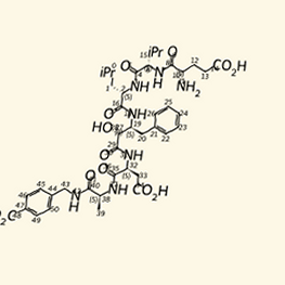 CC(C)C[C@H](NC(=O)[C@@H](NC(=O)[C@@H](N)CCC(=O)O)C(C)C)C(=O)N[C@@H](Cc1ccccc1)[C@@H](O)C(=O)N[C@@H](CC(=O)O)C(=O)N[C@@H](C)C(=O)NCc1ccc(C(=O)O)cc1